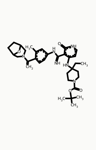 C=C(c1ccc(NC(=N)c2c(NC3(CC)CCN(C(=O)OC(C)(C)C)CC3)cc[nH]c2=O)cc1C)N1CC2CCC(C1)O2